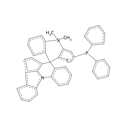 C[Si]1(C)c2ccccc2C2(c3ccccc3-n3c4ccccc4c4cccc2c43)c2ccc(P(c3ccccc3)c3ccccc3)cc21